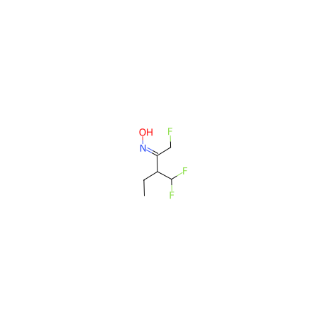 CCC(C(CF)=NO)C(F)F